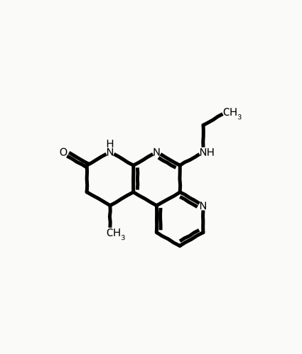 CCNc1nc2c(c3cccnc13)C(C)CC(=O)N2